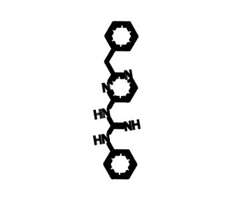 N=C(Nc1ccccc1)Nc1ccnc(Cc2ccccc2)n1